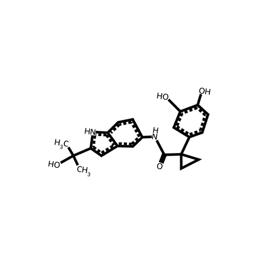 CC(C)(O)c1cc2cc(NC(=O)C3(c4ccc(O)c(O)c4)CC3)ccc2[nH]1